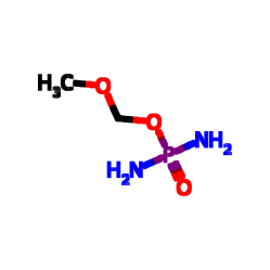 COCOP(N)(N)=O